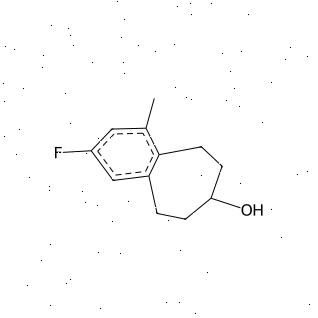 Cc1cc(F)cc2c1CCC(O)CC2